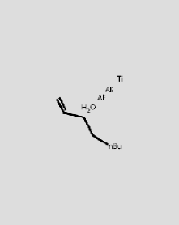 C=CCCCCCC.O.[Al].[Al].[Ti]